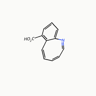 O=C(O)c1cccc2c1C=CC=CC=N2